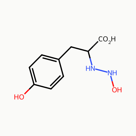 O=C(O)C(Cc1ccc(O)cc1)NNO